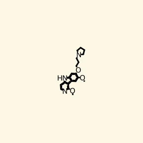 COc1cc2c(cc1OCCCN1CCCC1)[nH]c1ccnc(OC)c12